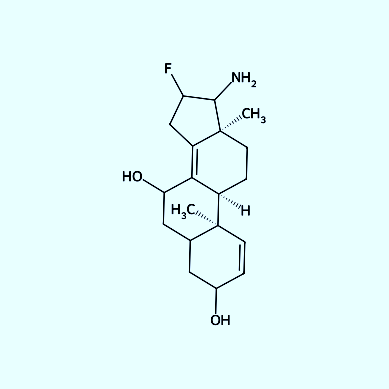 C[C@]12CC[C@@H]3C(=C1CC(F)C2N)C(O)CC1CC(O)C=C[C@@]13C